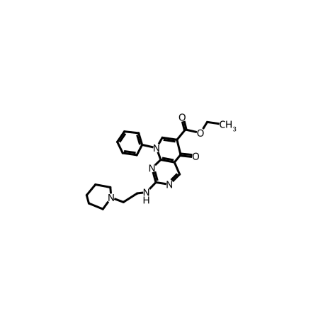 CCOC(=O)c1cn(-c2ccccc2)c2nc(NCCN3CCCCC3)ncc2c1=O